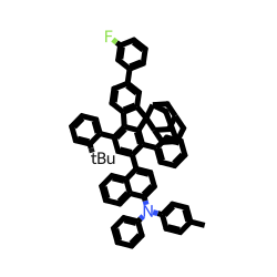 Cc1ccc(N(c2ccccc2)c2ccc(-c3cc(-c4ccccc4C(C)(C)C)c4c(c3-c3ccccc3)C3(c5cc(-c6cccc(F)c6)ccc5-4)C4CC5CC(C4)CC3C5)c3ccccc23)cc1